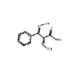 CNC(=O)C(=NO)C(=NO)c1ccccc1